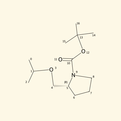 CC(C)OC[C@H]1CCCN1C(=O)OC(C)(C)C